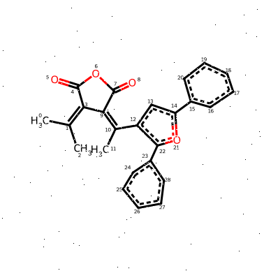 CC(C)=C1C(=O)OC(=O)C1=C(C)c1cc(-c2ccccc2)oc1-c1ccccc1